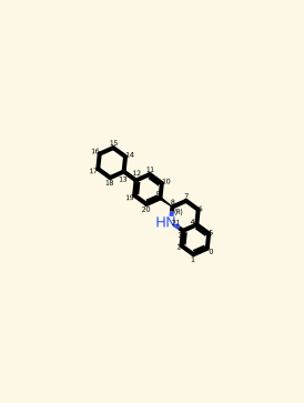 c1ccc2c(c1)CC[C@H](c1ccc(C3CCCCC3)cc1)N2